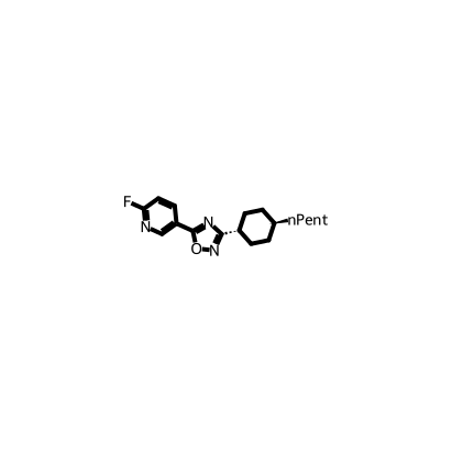 CCCCC[C@H]1CC[C@H](c2noc(-c3ccc(F)nc3)n2)CC1